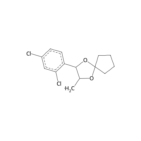 [CH2]C1OC2(CCCC2)OC1c1ccc(Cl)cc1Cl